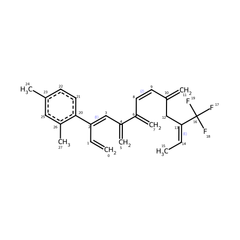 C=C/C(=C\C(=C)C(=C)/C=C\C(=C)C/C(=C\C)C(F)(F)F)c1ccc(C)cc1C